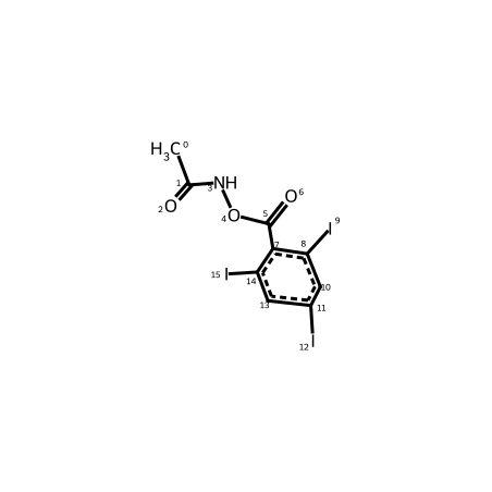 CC(=O)NOC(=O)c1c(I)cc(I)cc1I